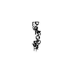 Cc1cc(C(F)(F)F)nn1CC(=O)N1CCC(c2nc(C3=NO[C@@H](c4ccccc4F)C3)cs2)CC1